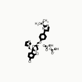 CN(C)c1nccc(-c2ccc(OC[C@@H]3CO[C@@](Cn4ccnc4)(c4ccc(Cl)cc4Cl)O3)cc2)n1.O=[N+]([O-])O.O=[N+]([O-])O